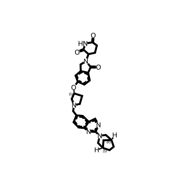 O=C1CCC(N2Cc3cc(O[C@H]4CCN(Cc5ccc6nc(N7C[C@@H]8CC[C@@H](C8)C7)ncc6c5)C4)ccc3C2=O)C(=O)N1